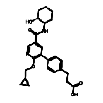 O=C(O)CCc1ccc(-c2cc(C(=O)NC3CCCC[C@H]3O)cnc2OCC2CC2)cc1